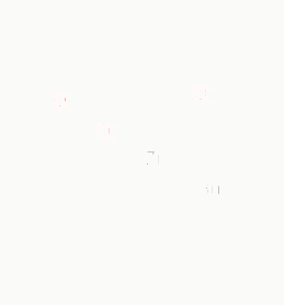 C=CCC(C)[O-].C=CCC(C)[O-].C=CCC(C)[O-].CCCCC1=[C]([Zr+3])CC=C1